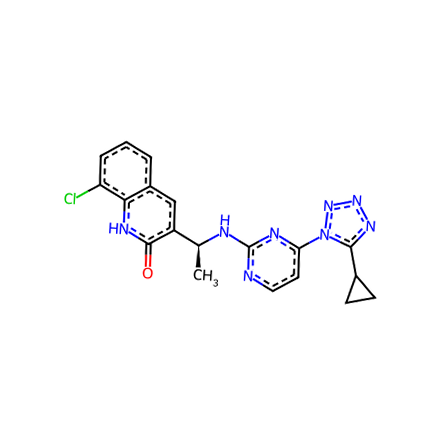 C[C@H](Nc1nccc(-n2nnnc2C2CC2)n1)c1cc2cccc(Cl)c2[nH]c1=O